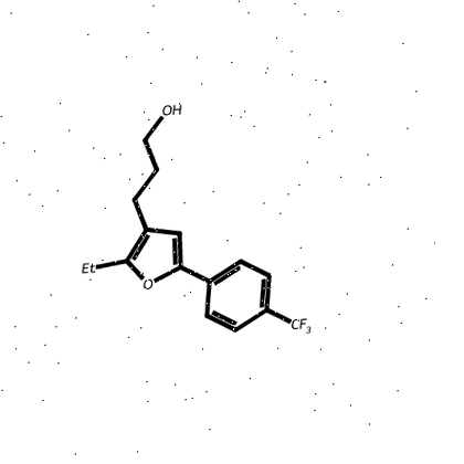 CCc1oc(-c2ccc(C(F)(F)F)cc2)cc1CCCO